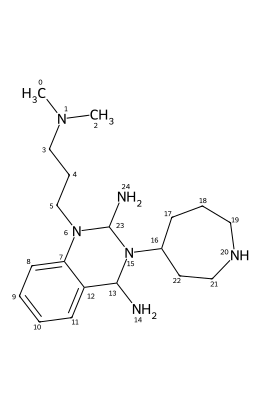 CN(C)CCCN1c2ccccc2C(N)N(C2CCCNCC2)C1N